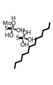 CCCCCCCCCCCC.OP(O)(O)=S.OP(O)(O)=S.[Mo]